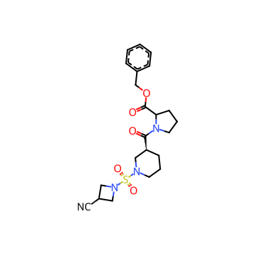 N#CC1CN(S(=O)(=O)N2CCC[C@H](C(=O)N3CCCC3C(=O)OCc3ccccc3)C2)C1